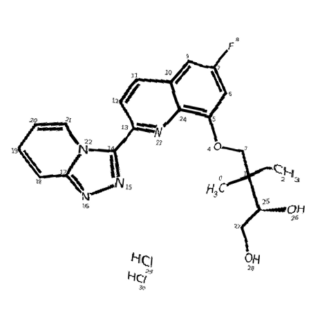 CC(C)(COc1cc(F)cc2ccc(-c3nnc4ccccn34)nc12)[C@@H](O)CO.Cl.Cl